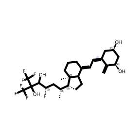 C=C1/C(=C\C=C2CCC[C@@]3(C)C2CC[C@@H]3[C@H](C)C[C@H](F)C(O)C(O)(C(F)(F)F)C(F)(F)F)C[C@@H](O)C[C@H]1O